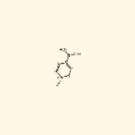 OB(O)C1=CC[C@H](F)C=C1